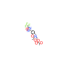 COC(C)C(=O)OCCN(Cc1ccc(-c2noc(C(F)(F)F)n2)cc1)C(=O)C(C)OC